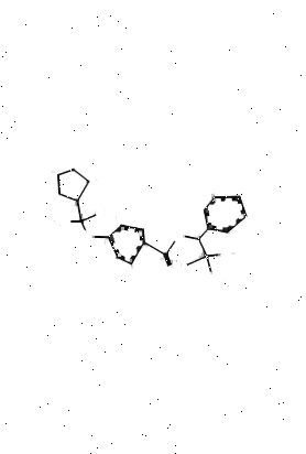 CC(C)(Oc1ccc(C(=O)OC(c2ccccc2)C(F)(F)C(=O)O)cc1)C1CCCC1